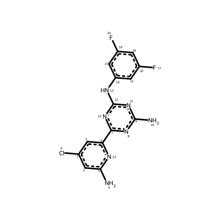 Nc1cc(Cl)cc(-c2nc(N)nc(Nc3cc(F)cc(F)c3)n2)n1